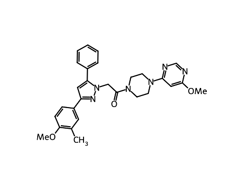 COc1cc(N2CCN(C(=O)Cn3nc(-c4ccc(OC)c(C)c4)cc3-c3ccccc3)CC2)ncn1